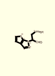 CCCCCCCCC(C=O)n1ncc2ccsc21